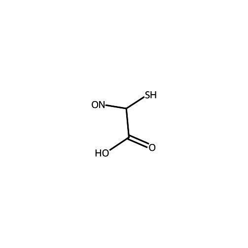 O=NC(S)C(=O)O